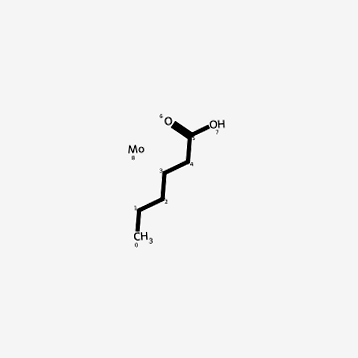 CCCCCC(=O)O.[Mo]